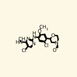 CNc1nc(Nc2cc(Cl)c(C3CN(C=O)CCO3)cc2OC)ncc1Cl